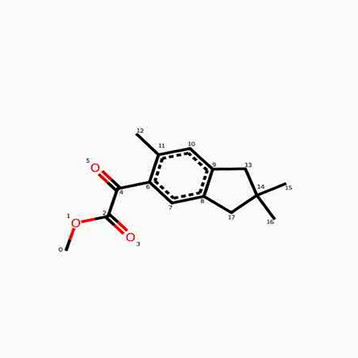 COC(=O)C(=O)c1cc2c(cc1C)CC(C)(C)C2